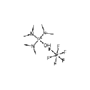 CN(C)[P+](O)(N(C)C)N(C)C.F[P-](F)(F)(F)(F)F